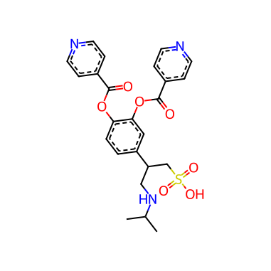 CC(C)NCC(CS(=O)(=O)O)c1ccc(OC(=O)c2ccncc2)c(OC(=O)c2ccncc2)c1